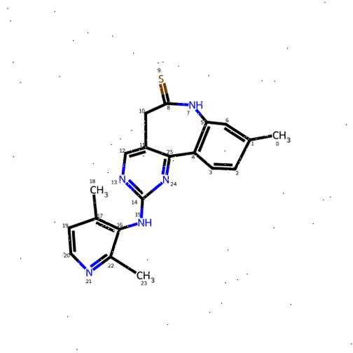 Cc1ccc2c(c1)NC(=S)Cc1cnc(Nc3c(C)ccnc3C)nc1-2